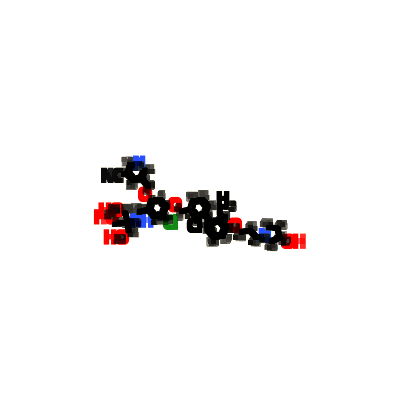 Cc1c(COc2cc(OCc3cncc(C#N)c3)c(CNC(CO)(CO)CO)cc2Cl)cccc1-c1cccc(OCCCN2CCC(O)C2)c1C